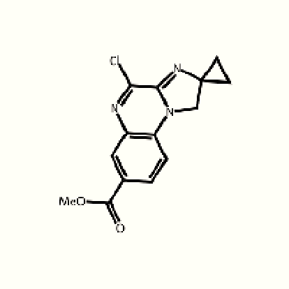 COC(=O)c1ccc2c(c1)N=C(Cl)C1=NC3(CC3)CN12